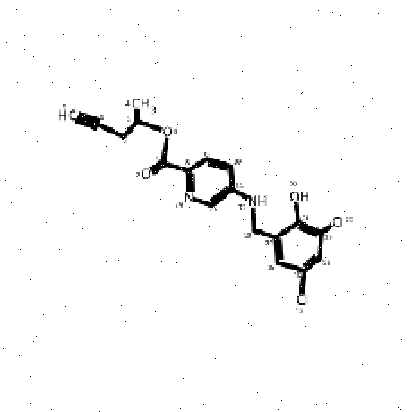 C#CCC(C)OC(=O)c1ccc(NCc2cc(Cl)cc(Cl)c2O)cn1